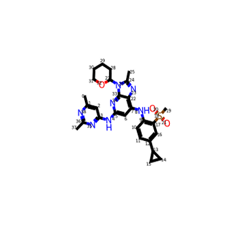 Cc1cc(Nc2cc(Nc3ccc(C4CC4)cc3S(C)(=O)=O)c3nc(C)n(C4CCCCO4)c3n2)nc(C)n1